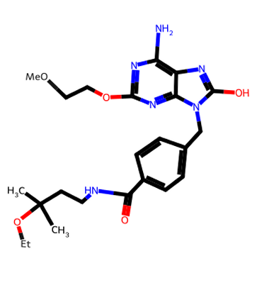 CCOC(C)(C)CCNC(=O)c1ccc(Cn2c(O)nc3c(N)nc(OCCOC)nc32)cc1